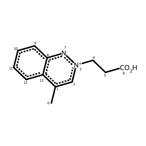 Cc1c[n+](CCC(=O)O)nc2ccccc12